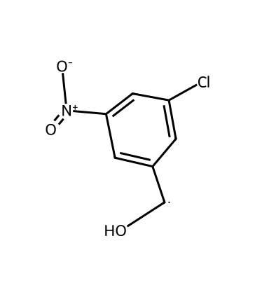 O=[N+]([O-])c1cc(Cl)cc([CH]O)c1